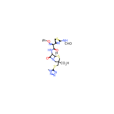 CC(C)ON=C(C(=O)NC1C(=O)N2CC(CSc3nnnn3C)(C(=O)O)CS[C@H]12)c1csc(NC=O)n1